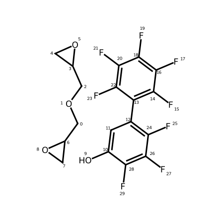 C(OCC1CO1)C1CO1.Oc1cc(-c2c(F)c(F)c(F)c(F)c2F)c(F)c(F)c1F